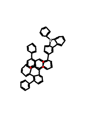 c1ccc(-c2cccc(N(c3cccc(-c4ccc5c(c4)c4ccccc4n5-c4ccccc4)c3)c3cccc(-c4ccccc4)c3-c3ccccc3-c3ccccc3)c2)cc1